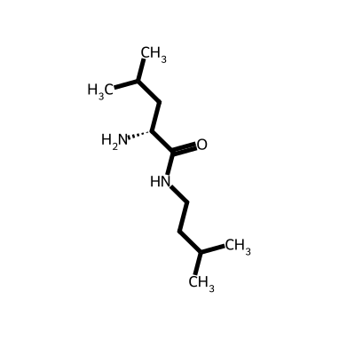 CC(C)CCNC(=O)[C@H](N)CC(C)C